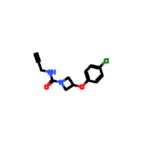 C#CCNC(=O)N1CC(Oc2ccc(Cl)cc2)C1